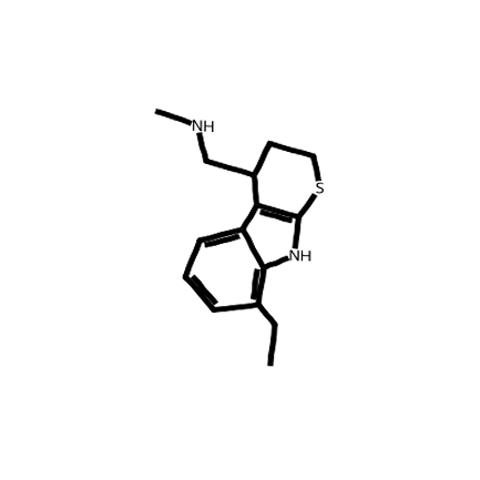 CCc1cccc2c3c([nH]c12)SCCC3CNC